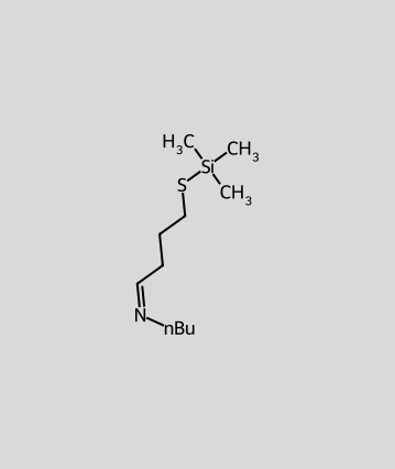 CCCC/N=C\CCCS[Si](C)(C)C